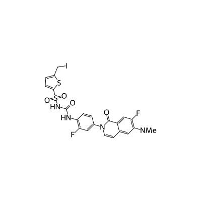 CNc1cc2ccn(-c3ccc(NC(=O)NS(=O)(=O)c4ccc(CI)s4)c(F)c3)c(=O)c2cc1F